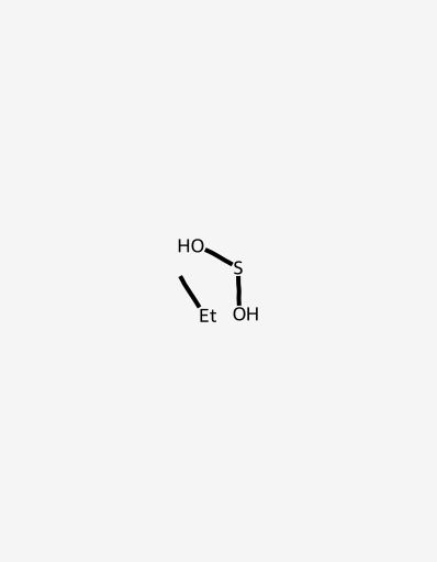 CCC.OSO